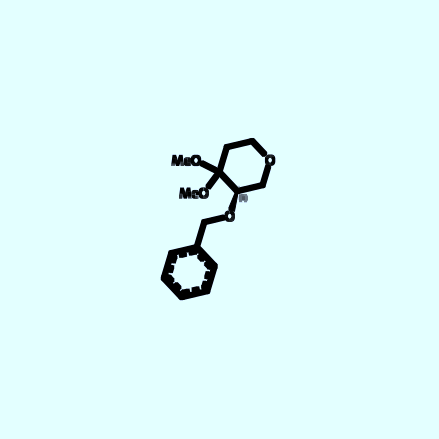 COC1(OC)CCOC[C@H]1OCc1ccccc1